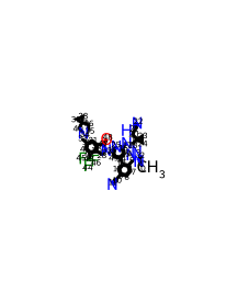 Cn1cnnc1-c1ccc(C#N)cc1-c1cc(NCC2(CC#N)CC2)nc(N2Cc3c(cc(CN4CCC5(CC5)C4)cc3C(F)(F)F)C2=O)c1